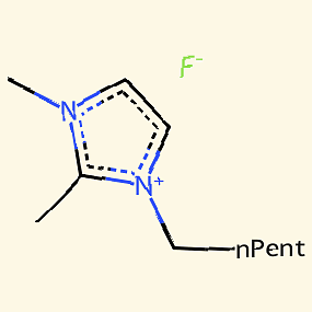 CCCCCC[n+]1ccn(C)c1C.[F-]